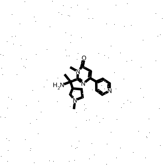 CN1CCC(C(C)(N)c2nc(-c3ccncc3)cc(=O)n2C)C1